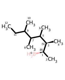 B[C@H](C)[C@H](C)C(C)C(C)C(C)CC